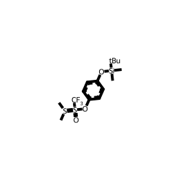 CS(C)=S(=O)(Oc1ccc(O[Si](C)(C)C(C)(C)C)cc1)C(F)(F)F